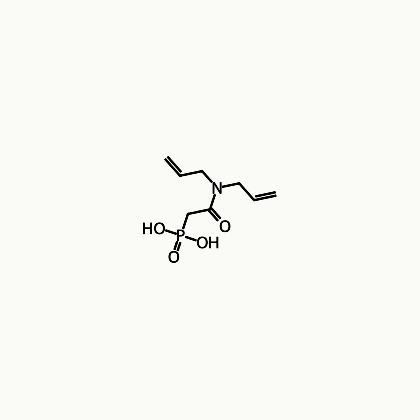 C=CCN(CC=C)C(=O)CP(=O)(O)O